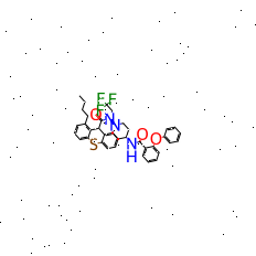 CCCCc1cccc2c1C(C(=O)N(CC(F)(F)F)N1CCC(NC(=O)c3ccccc3Oc3ccccc3)CC1)c1ccccc1S2